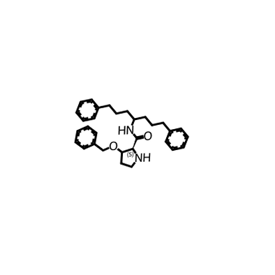 O=C(NC(CCCc1ccccc1)CCCc1ccccc1)[C@H]1NCCC1OCc1ccccc1